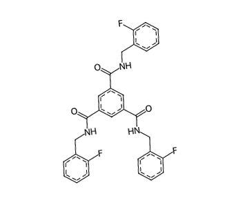 O=C(NCc1ccccc1F)c1cc(C(=O)NCc2ccccc2F)cc(C(=O)NCc2ccccc2F)c1